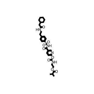 CC(C)C(=O)OCCNC(=O)Oc1ccc(C(=O)NS(=O)(=O)c2ccc(CCNC(=O)CC3CCCCC3)cc2)cn1